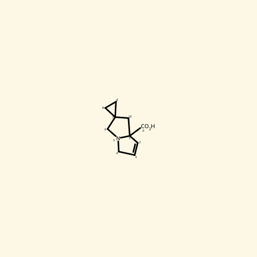 O=C(O)C12C=CCN1CC1(CC1)C2